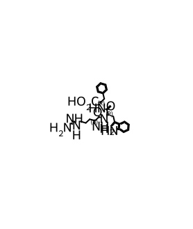 N=C(N)NCCC[C@H](N)C(=O)N[C@H](Cc1c[nH]c2ccccc12)C(=O)N[C@H](Cc1ccccc1)C(=O)O